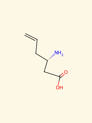 C=CC[C@H](N)CC(=O)O